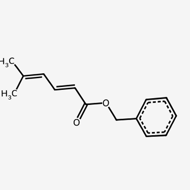 CC(C)=CC=CC(=O)OCc1ccccc1